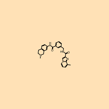 Cc1cccn2cc(C(=O)NCc3cccc(C(=O)Nc4ccc5c(c4)CN(C)CC5)c3)nc12